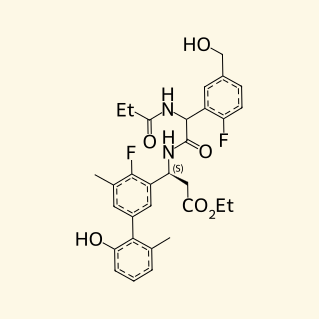 CCOC(=O)C[C@H](NC(=O)C(NC(=O)CC)c1cc(CO)ccc1F)c1cc(-c2c(C)cccc2O)cc(C)c1F